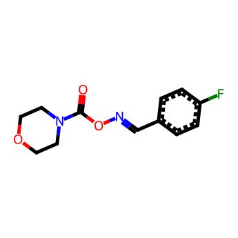 O=C(O/N=C/c1ccc(F)cc1)N1CCOCC1